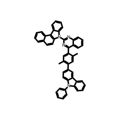 Cc1cc(-c2nc(-n3c4ccccc4c4c5ccccc5ccc43)nc3ccccc23)c(C)cc1-c1ccc2c(c1)c1ccccc1n2-c1ccccc1